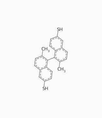 Cc1ccc2cc(S)ccc2c1-c1c(C)ccc2cc(S)ccc12